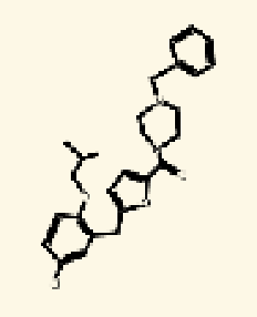 CC(C)COc1ccc(Cl)cc1Cc1ccc(C(=O)N2CCN(Cc3ccccc3)CC2)o1